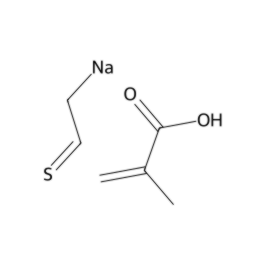 C=C(C)C(=O)O.[Na][CH2]C=S